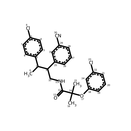 CC(c1ccc(Cl)cc1)C(CNC(=O)C(C)(C)Oc1cccc(Cl)c1)c1cccc(C#N)c1